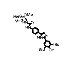 CO[Si](CNC(=O)Nc1ccc(-c2cnc(-c3cc(C(C)(C)C)c(O)c(C(C)(C)C)c3)[nH]2)cc1)(OC)OC